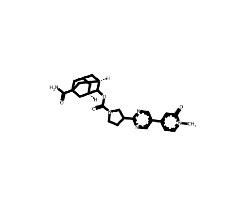 Cn1ccc(-c2cnc(C3CCN(C(=O)OC4[C@@H]5CC6C[C@@H]4CC(C(N)=O)(C6)C5)C3)nc2)cc1=O